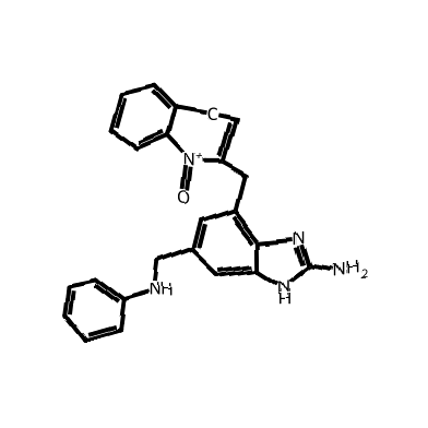 Nc1nc2c(CC3=CCc4ccccc4[N+]3=O)cc(CNc3ccccc3)cc2[nH]1